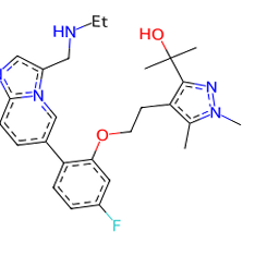 CCNCc1cnc2ccc(-c3ccc(F)cc3OCCc3c(C(C)(C)O)nn(C)c3C)cn12